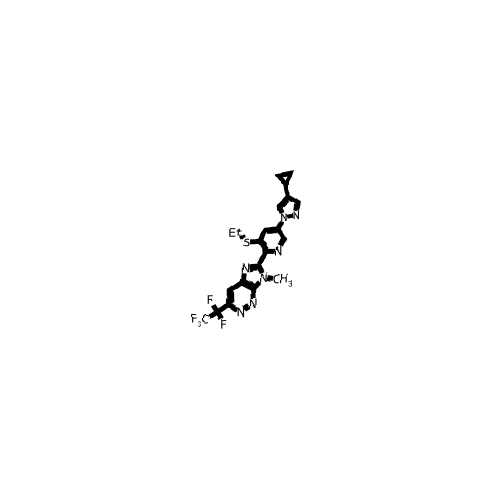 CCSc1cc(-n2cc(C3CC3)cn2)cnc1-c1nc2cc(C(F)(F)C(F)(F)F)nnc2n1C